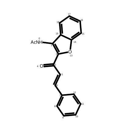 CC(=O)Nc1c(C(=O)/C=C/c2ccccc2)oc2ccccc12